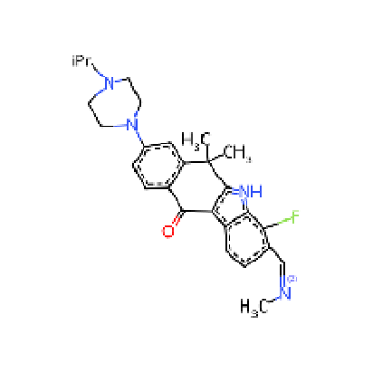 C/N=C\c1ccc2c3c([nH]c2c1F)C(C)(C)c1cc(N2CCN(C(C)C)CC2)ccc1C3=O